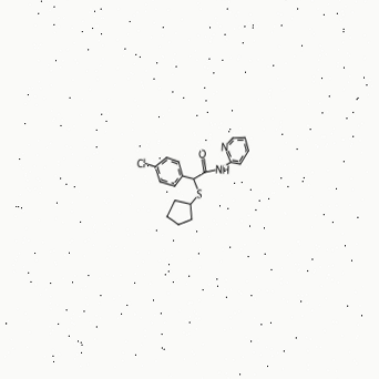 O=C(Nc1ccccn1)C(SC1CCCC1)c1ccc(Cl)cc1